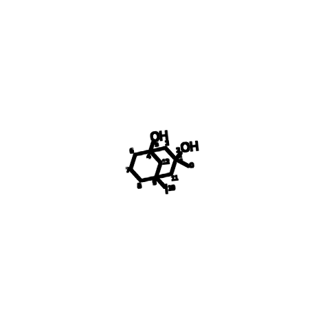 CC1(O)CC2(O)CCCC(I)(C1)C2